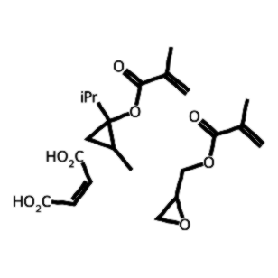 C=C(C)C(=O)OC1(C(C)C)CC1C.C=C(C)C(=O)OCC1CO1.O=C(O)/C=C\C(=O)O